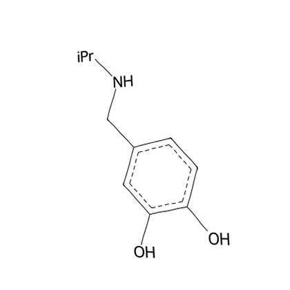 CC(C)NCc1ccc(O)c(O)c1